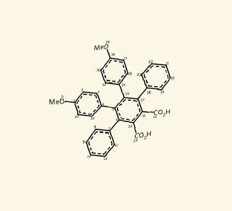 COc1ccc(-c2c(-c3ccccc3)c(C(=O)O)c(C(=O)O)c(-c3ccccc3)c2-c2ccc(OC)cc2)cc1